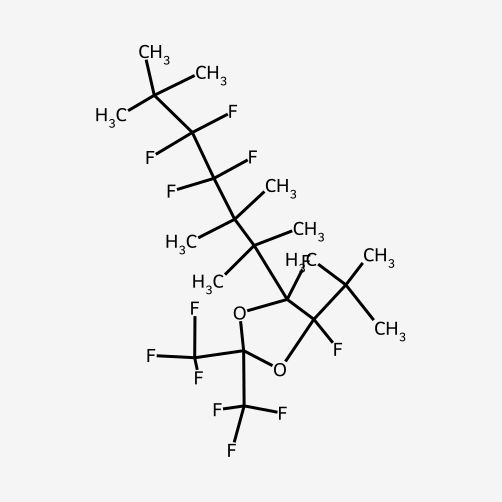 CC(C)(C)C(F)(F)C(F)(F)C(C)(C)C(C)(C)C1(F)OC(C(F)(F)F)(C(F)(F)F)OC1(F)C(C)(C)C